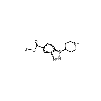 O=C(OP)c1ccc2c(c1)nnn2C1CCNCC1